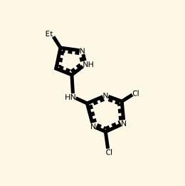 CCc1cc(Nc2nc(Cl)nc(Cl)n2)[nH]n1